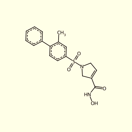 Cc1cc(S(=O)(=O)N2CC=C(C(=O)NO)C2)ccc1-c1ccccc1